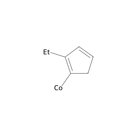 CCC1=[C]([Co])CC=C1